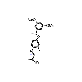 COc1cc(OC)cc(C(C)Oc2ccc(/N=C/N(C)C(C)C)c(C)n2)c1